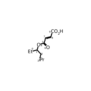 CCC(CC(C)C)OC(=O)/C=C/C(=O)O